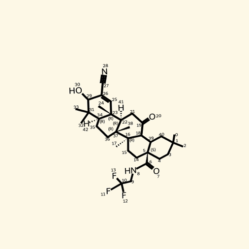 CC1(C)CC[C@]2(C(=O)NCC(F)(F)F)CC[C@]3(C)C(C(=O)C[C@@H]4[C@@]5(C)C=C(C#N)C(O)C(C)(C)[C@@H]5CC[C@]43C)C2C1